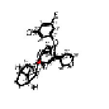 Cc1cc(N2C[C@H]3CC[C@@H](C2)[C@@H]3Nc2nc(Oc3cc(F)cc(Cl)c3)n(C3CCOC3)n2)ncn1